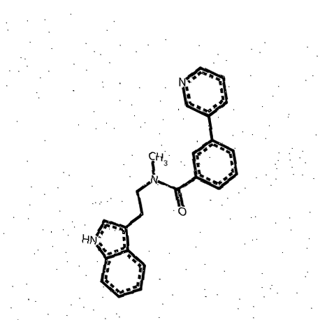 CN(CCc1c[nH]c2ccccc12)C(=O)c1cccc(-c2cccnc2)c1